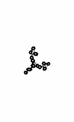 c1ccc(-c2ccc(-c3cc4c5cc6ccc(N(c7ccccc7)c7cccc8c7oc7ccccc78)cc6cc5n5c6cc7cc(N(c8ccccc8)c8cccc9c8oc8ccccc89)ccc7cc6c(c3)c45)cc2)cc1